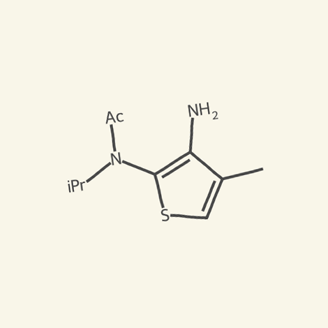 CC(=O)N(c1scc(C)c1N)C(C)C